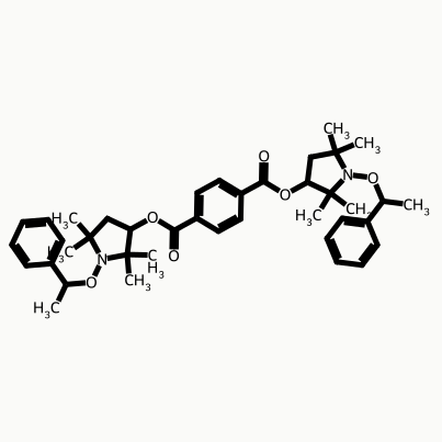 CC(ON1C(C)(C)CC(OC(=O)c2ccc(C(=O)OC3CC(C)(C)N(OC(C)c4ccccc4)C3(C)C)cc2)C1(C)C)c1ccccc1